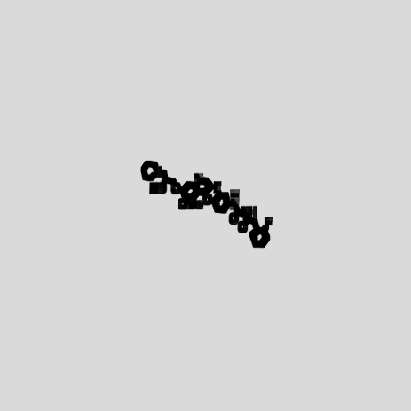 COc1cc2c(Oc3ccc(NC(=O)NC(=O)Cc4ccccc4F)cc3F)ccnc2cc1OCC(O)CN1CCCCC1